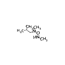 CNON(C)CC(C)C